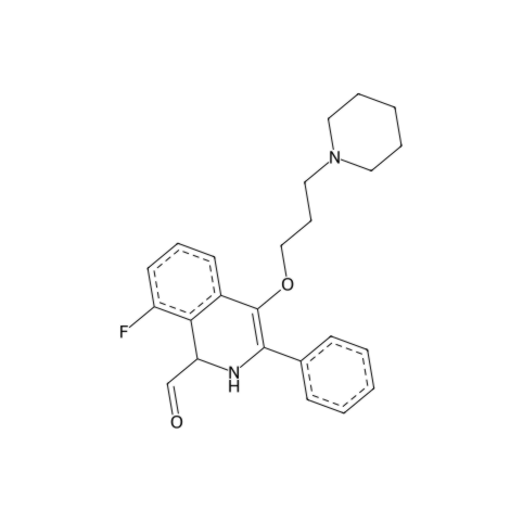 O=CC1NC(c2ccccc2)=C(OCCCN2CCCCC2)c2cccc(F)c21